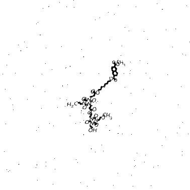 C=CCn1c(=O)n(CCC(=O)OCCCCCCCCOC(=O)c2ccc3cc(C(=O)OC)ccc3c2)c(=O)n(CCC(=O)OCCn2c(=O)n(CCO)c(=O)n(CCOC)c2=O)c1=O